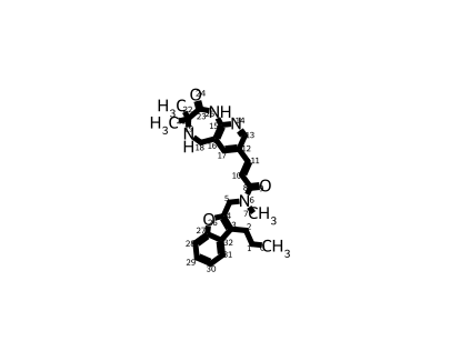 CCCc1c(CN(C)C(=O)C=Cc2cnc3c(c2)CNC(C)(C)C(=O)N3)oc2ccccc12